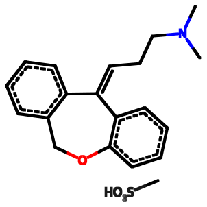 CN(C)CCC=C1c2ccccc2COc2ccccc21.CS(=O)(=O)O